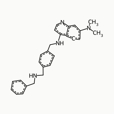 CN(C)c1ccc2c(NCc3ccc(CNCc4ccccc4)cc3)ccnc2c1